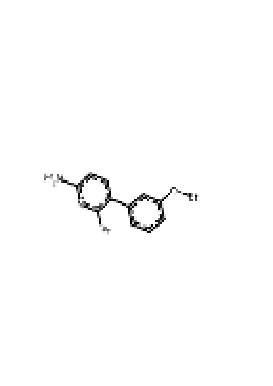 CCOc1cccc(-c2ccc(N)nc2C(C)C)c1